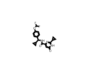 O=C(NC(c1ccc(OC(F)F)cc1)C1CC1)c1cc(=O)[nH]c(C2CC2)n1